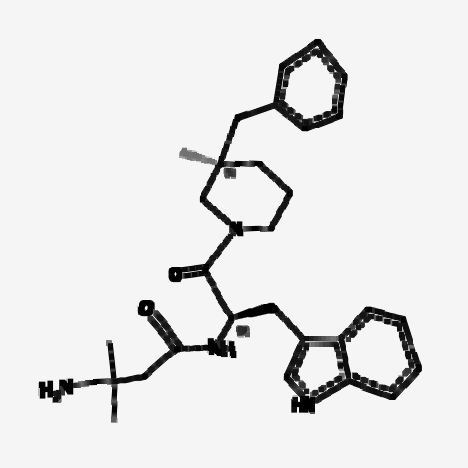 CC(C)(N)CC(=O)N[C@H](Cc1c[nH]c2ccccc12)C(=O)N1CCC[C@](C)(Cc2ccccc2)C1